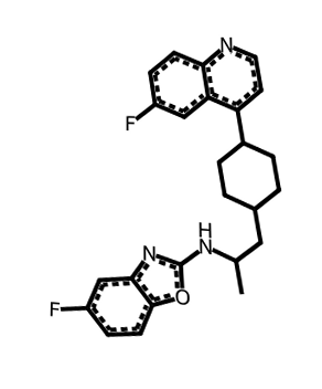 CC(CC1CCC(c2ccnc3ccc(F)cc23)CC1)Nc1nc2cc(F)ccc2o1